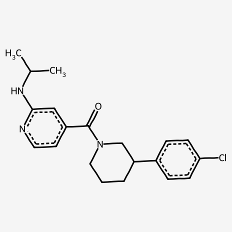 CC(C)Nc1cc(C(=O)N2CCCC(c3ccc(Cl)cc3)C2)ccn1